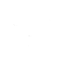 O=[PH]([O-])O[PH](=O)O.OCc1ccccc1.[Na+]